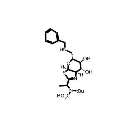 CC(C1=N[C@@H]2[C@@H](O)[C@H](O)[C@@H](CNCc3ccccc3)O[C@@H]2S1)N(C(=O)O)C(C)(C)C